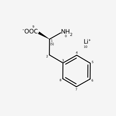 N[C@@H](Cc1ccccc1)C(=O)[O-].[Li+]